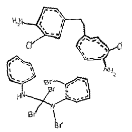 Brc1ccccc1N(Br)C(Br)(Br)Nc1ccccc1.Nc1ccc(Cc2ccc(N)c(Cl)c2)cc1Cl